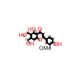 COc1cc(-c2cc(=O)c3c(O)c(CO)c(CO)cc3o2)ccc1O